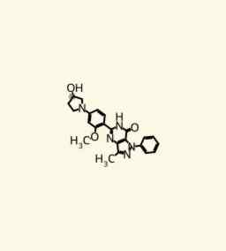 COc1cc(N2CC[C@@H](O)C2)ccc1-c1nc2c(C)nn(-c3ccccc3)c2c(=O)[nH]1